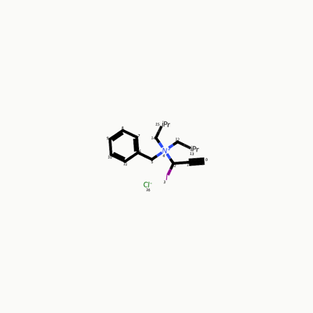 C#CC(I)[N+](Cc1ccccc1)(CC(C)C)CC(C)C.[Cl-]